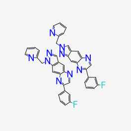 Fc1cccc(-c2cnc3cc4cn(Cc5ccccn5)nc4cc3n2)c1.Fc1cccc(-c2cnc3cc4cnn(Cc5ccccn5)c4cc3n2)c1